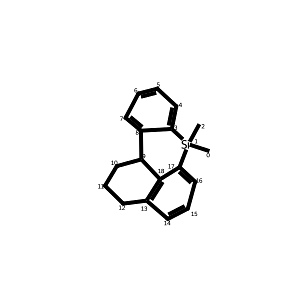 C[Si]1(C)c2ccccc2C2CCCc3cccc1c32